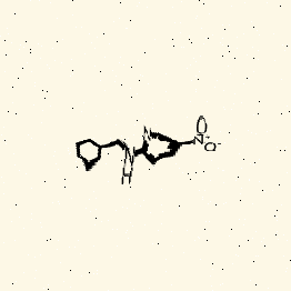 O=[N+]([O-])c1ccc(NCC2CCCCC2)nc1